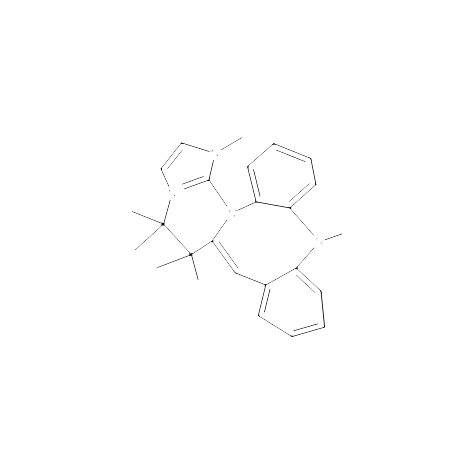 Cn1cc[n+]2c1-n1c(cc3ccccc3n(C)c3ccccc31)C(C)(C)C2(C)C